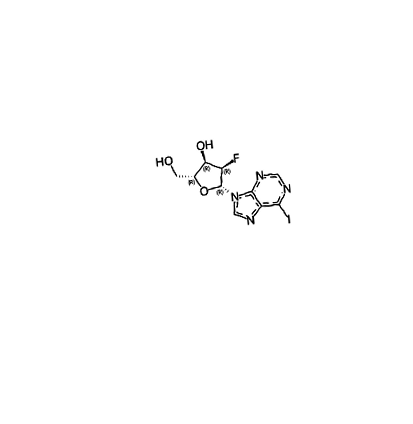 OC[C@H]1O[C@@H](n2cnc3c(I)ncnc32)[C@H](F)[C@@H]1O